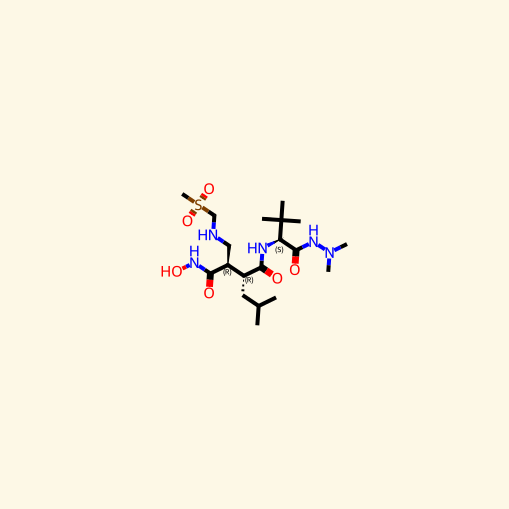 CC(C)C[C@@H](C(=O)N[C@H](C(=O)NN(C)C)C(C)(C)C)[C@H](CNCS(C)(=O)=O)C(=O)NO